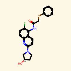 O=C(CSc1ccccc1)Nc1c(Cl)ccc2nc(N3CC[C@@H](O)C3)ccc12